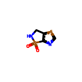 O=S1(=O)NCc2scnc21